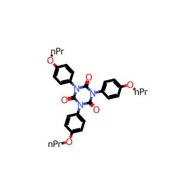 CCCOc1ccc(-n2c(=O)n(-c3ccc(OCCC)cc3)c(=O)n(-c3ccc(OCCC)cc3)c2=O)cc1